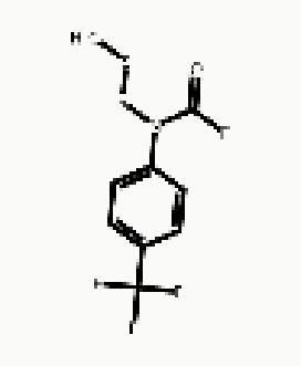 CSSN(C(=O)F)c1ccc(C(F)(F)F)cc1